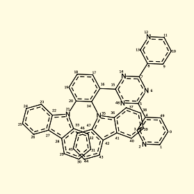 c1cncc(-c2nc(-c3cccnc3)nc(-c3cccc(-n4c5ccccc5c5ccccc54)c3-n3c4ccccc4c4ccccc43)n2)c1